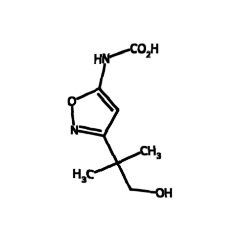 CC(C)(CO)c1cc(NC(=O)O)on1